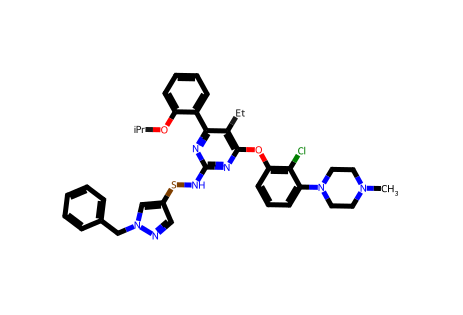 CCc1c(Oc2cccc(N3CCN(C)CC3)c2Cl)nc(NSc2cnn(Cc3ccccc3)c2)nc1-c1ccccc1OC(C)C